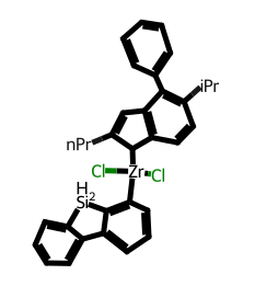 CCCC1=Cc2c(ccc(C(C)C)c2-c2ccccc2)[CH]1[Zr]([Cl])([Cl])[c]1cccc2c1[SiH2]c1ccccc1-2